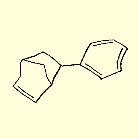 C1=CC2C[C]1CC2c1ccccc1